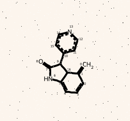 C=C1C=CC=C2NC(=O)C(c3ccncc3)C12